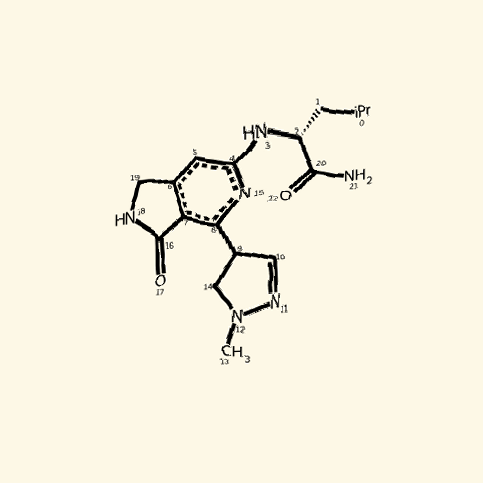 CC(C)C[C@@H](Nc1cc2c(c(C3C=NN(C)C3)n1)C(=O)NC2)C(N)=O